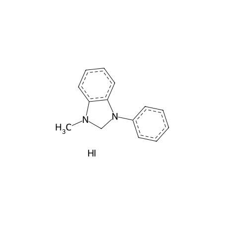 CN1CN(c2ccccc2)c2ccccc21.I